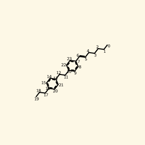 CCCCC/C=C/c1ccc(CCc2ccc(CCC)cc2)cc1